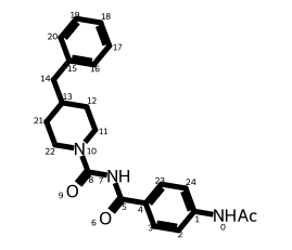 CC(=O)Nc1ccc(C(=O)NC(=O)N2CCC(Cc3ccccc3)CC2)cc1